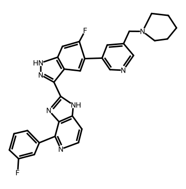 Fc1cccc(-c2nccc3[nH]c(-c4n[nH]c5cc(F)c(-c6cncc(CN7CCCCC7)c6)cc45)nc23)c1